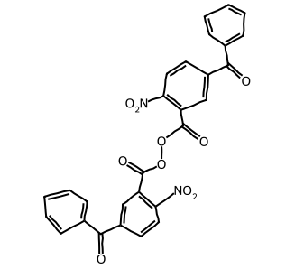 O=C(c1ccccc1)c1ccc([N+](=O)[O-])c(C(=O)OOC(=O)c2cc(C(=O)c3ccccc3)ccc2[N+](=O)[O-])c1